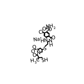 CC(CS)C(=O)N1CC(SCCC2NC(=O)c3cc(S(N)(=O)=O)c(Cl)cc3N2)C[C@H]1C(=O)[O-].[Na+]